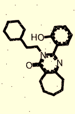 O=c1c2c(nc(-c3ccccc3O)n1CCC1CCCCC1)CCCCC2